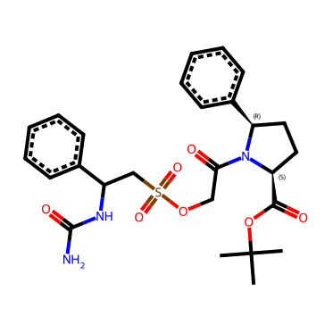 CC(C)(C)OC(=O)[C@@H]1CC[C@H](c2ccccc2)N1C(=O)COS(=O)(=O)CC(NC(N)=O)c1ccccc1